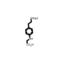 CCCCCCCCCc1ccc(NCC(=O)O)cc1